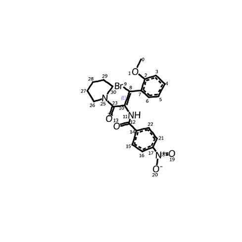 COc1ccccc1/C(Br)=C(\NC(=O)c1ccc([N+](=O)[O-])cc1)C(=O)N1CCCCC1